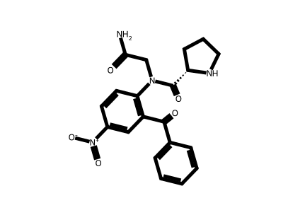 NC(=O)CN(C(=O)[C@@H]1CCCN1)c1ccc([N+](=O)[O-])cc1C(=O)c1ccccc1